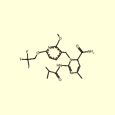 COc1nc(OCC(F)(F)F)ccc1CN1C(NC(=O)C(C)C)=NC(C)=CC1C(N)=O